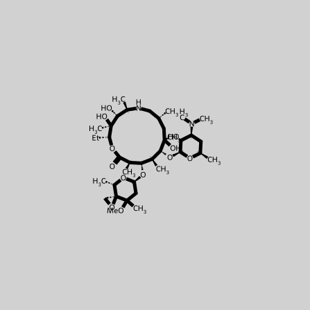 CC[C@H]1OC(=O)[C@H](C)[C@@H](O[C@H]2CC(C)(OC)[C@]3(CO3)[C@H](C)O2)[C@H](C)[C@@H](O[C@@H]2O[C@H](C)C[C@H](N(C)C)[C@H]2O)[C@](C)(O)C[C@@H](C)CN[C@H](C)[C@@H](O)[C@]1(C)O